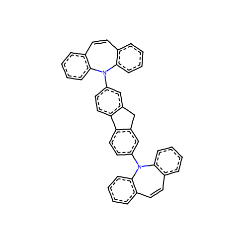 C1=Cc2ccccc2N(c2ccc3c(c2)Cc2cc(N4c5ccccc5C=Cc5ccccc54)ccc2-3)c2ccccc21